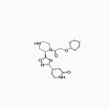 O=C(COc1ccccc1)N1CCNC[C@@H]1c1nc(-c2cc[nH]c(=O)c2)no1